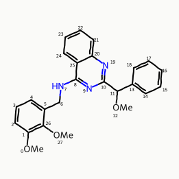 COc1cccc(CNc2nc(C(OC)c3ccccc3)nc3ccccc23)c1OC